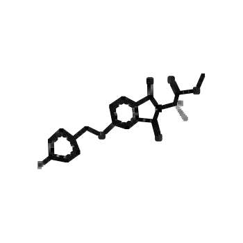 COC(=O)[C@H](C)N1C(=O)c2ccc(OCc3ccc(F)cc3)cc2C1=O